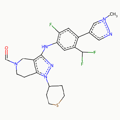 Cn1cc(-c2cc(F)c(Nc3nn(C4CCSCC4)c4c3CN(C=O)CC4)cc2C(F)F)cn1